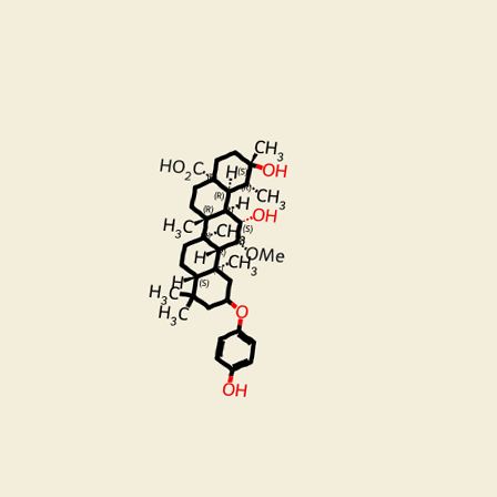 CO[C@H]1[C@@H](O)[C@@H]2[C@@H]3[C@@H](C)[C@@](C)(O)CC[C@]3(C(=O)O)CC[C@@]2(C)[C@]2(C)CC[C@H]3C(C)(C)CC(Oc4ccc(O)cc4)C[C@]3(C)[C@@H]12